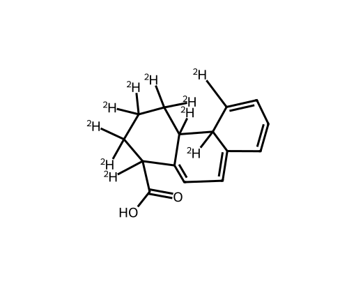 [2H]C1=CC=CC2=CC=C3C([2H])(C(=O)O)C([2H])([2H])C([2H])([2H])C([2H])([2H])C3([2H])C12[2H]